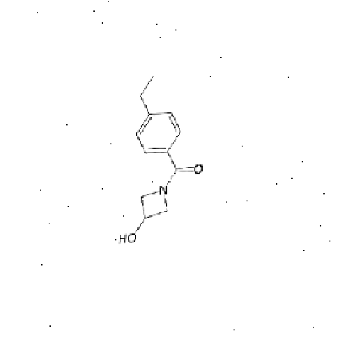 CCc1ccc(C(=O)N2CC(O)C2)cc1